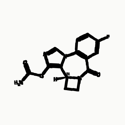 NC(=O)Oc1ncn2c1[C@@H]1CCN1C(=O)c1cc(F)ccc1-2